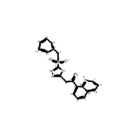 O=C(Cc1nnc(S(=O)(=O)Cc2ccccc2)s1)c1cccc2cccnc12